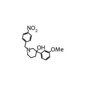 COc1cccc(C2(O)CCCN(Cc3ccc([N+](=O)[O-])cc3)C2)c1